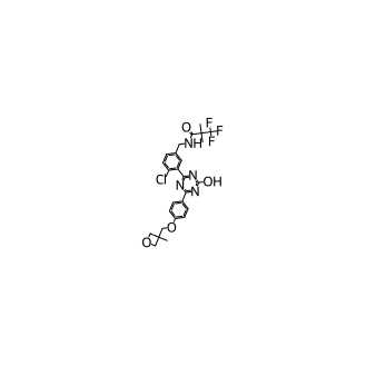 CC1(COc2ccc(-c3nc(O)nc(-c4cc(CNC(=O)C(C)(C)C(F)(F)F)ccc4Cl)n3)cc2)COC1